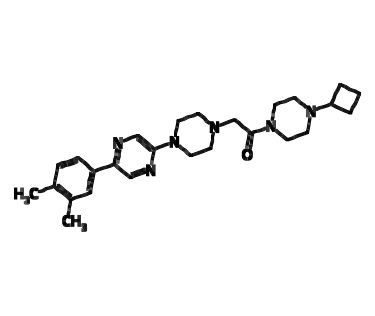 Cc1ccc(-c2cnc(N3CCN(CC(=O)N4CCN(C5CCC5)CC4)CC3)cn2)cc1C